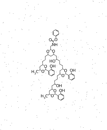 CC1CC(CCCC2CC(CC(O)CCCC3CC(CCCC(O)CC4C[C@H](C)OC(c5ccccc5O)O4)OC(c4ccccc4O)O3)OC(CNC(=O)Oc3ccccc3)O2)OC(c2ccccc2O)O1